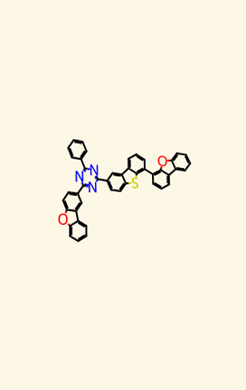 c1ccc(-c2nc(-c3ccc4oc5ccccc5c4c3)nc(-c3ccc4sc5c(-c6cccc7c6oc6ccccc67)cccc5c4c3)n2)cc1